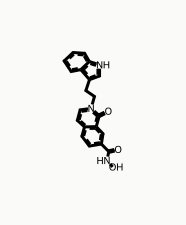 O=C(NO)c1ccc2ccn(CCc3c[nH]c4ccccc34)c(=O)c2c1